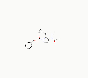 CCOC(=O)C(C1CC1)[C@H]1[C@H](NC(=O)C(F)(F)F)CCN1C(=O)OCc1ccccc1